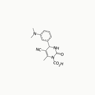 CC1=C(C#N)C(c2cccc(N(C)C)c2)NC(=O)N1C(=O)O